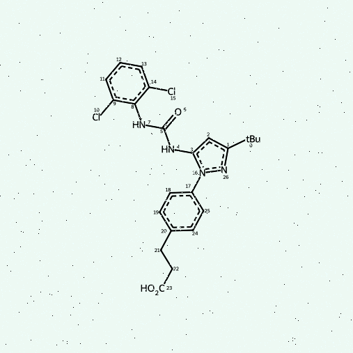 CC(C)(C)c1cc(NC(=O)Nc2c(Cl)cccc2Cl)n(-c2ccc(CCC(=O)O)cc2)n1